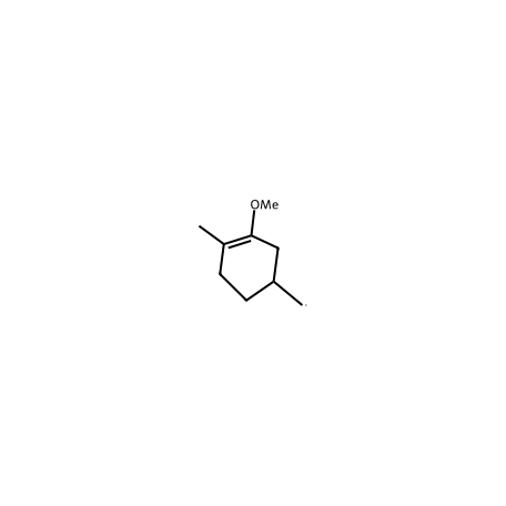 [CH2]C1CCC(C)=C(OC)C1